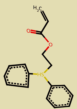 C=CC(=O)OCC[SH](c1ccccc1)c1ccccc1